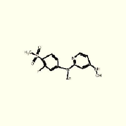 CC(=O)N(c1ccc(S(C)(=O)=O)c(F)c1)c1cc(NO)ccn1